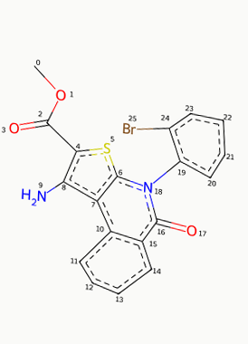 COC(=O)c1sc2c(c1N)c1ccccc1c(=O)n2-c1ccccc1Br